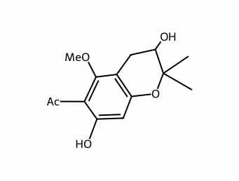 COc1c2c(cc(O)c1C(C)=O)OC(C)(C)C(O)C2